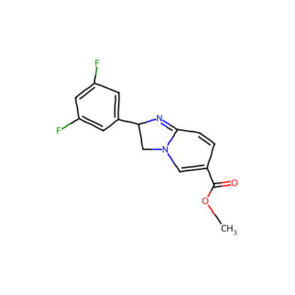 COC(=O)C1=CN2CC(c3cc(F)cc(F)c3)N=C2C=C1